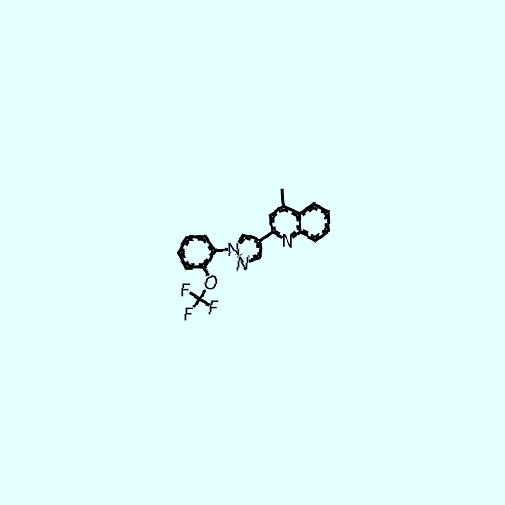 Cc1cc(-c2cnn(-c3ccccc3OC(F)(F)F)c2)nc2ccccc12